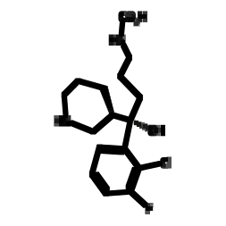 O=C(O)NCCC[C@@](O)(c1cccc(F)c1Cl)[C@@H]1CCCNC1